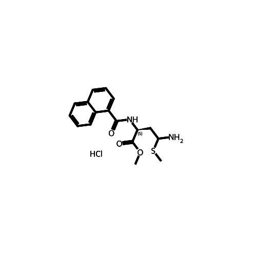 COC(=O)[C@H](CC(N)SC)NC(=O)c1cccc2ccccc12.Cl